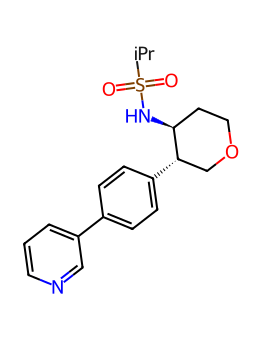 CC(C)S(=O)(=O)N[C@H]1CCOC[C@@H]1c1ccc(-c2cccnc2)cc1